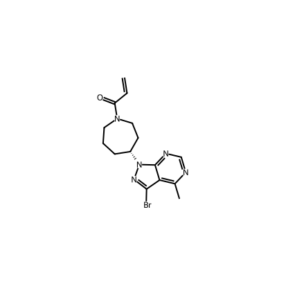 C=CC(=O)N1CCC[C@@H](n2nc(Br)c3c(C)ncnc32)CC1